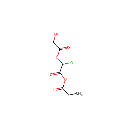 CCC(=O)OC(=O)C(Cl)OC(=O)CO